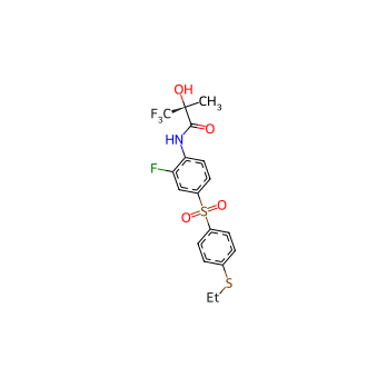 CCSc1ccc(S(=O)(=O)c2ccc(NC(=O)[C@@](C)(O)C(F)(F)F)c(F)c2)cc1